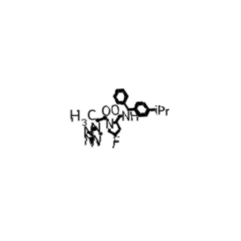 CC(C)c1ccc(C(NC(=O)C2CC(F)CN2C(=O)C(C)n2cnnn2)c2ccccc2)cc1